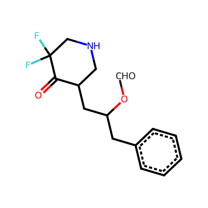 O=COC(Cc1ccccc1)CC1CNCC(F)(F)C1=O